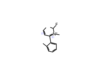 C/C=C\C(c1ccccc1C)=[N+](\C)C(C)F